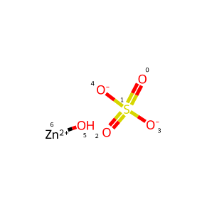 O=S(=O)([O-])[O-].[OH][Zn+2]